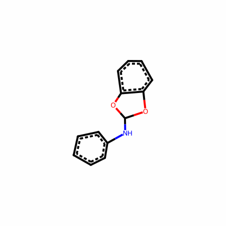 c1ccc(NC2Oc3ccccc3O2)cc1